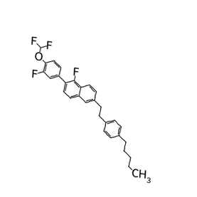 CCCCCc1ccc(CCc2ccc3c(F)c(-c4ccc(OC(F)F)c(F)c4)ccc3c2)cc1